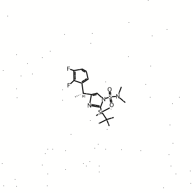 C[C@@H](c1cn(S(=O)(=O)N(C)C)c([Si](C)(C)C(C)(C)C)n1)c1cccc(F)c1F